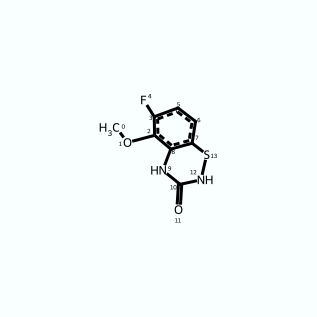 COc1c(F)ccc2c1NC(=O)NS2